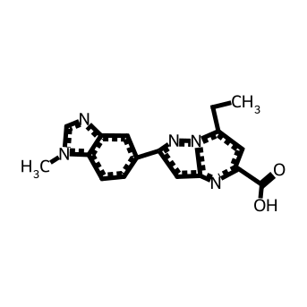 CCc1cc(C(=O)O)nc2cc(-c3ccc4c(c3)ncn4C)nn12